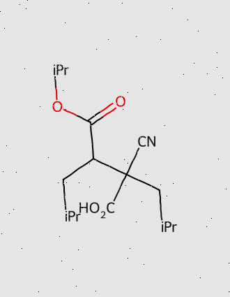 CC(C)CC(C(=O)OC(C)C)C(C#N)(CC(C)C)C(=O)O